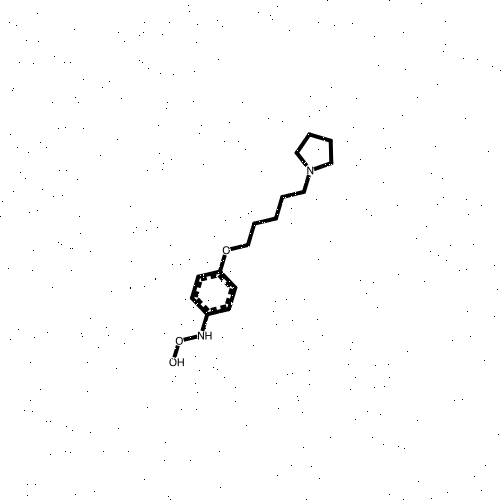 OONc1ccc(OCCCCCN2CCCC2)cc1